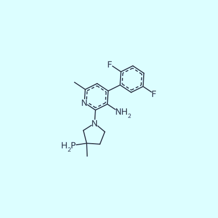 Cc1cc(-c2cc(F)ccc2F)c(N)c(N2CCC(C)(P)C2)n1